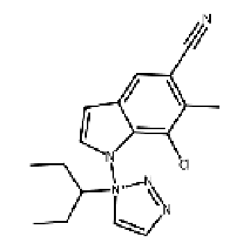 CCC(CC)[N+]1(n2ccc3cc(C#N)c(C)c(Cl)c32)C=CN=N1